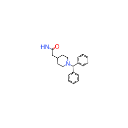 [NH]C(=O)CC1CCN(C(c2ccccc2)c2ccccc2)CC1